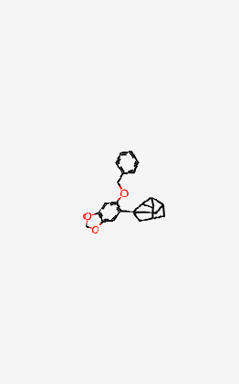 c1ccc(COc2cc3c(cc2C24CC5CC(C2)C2C5C24)OCO3)cc1